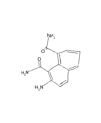 NC(=O)c1cccc2ccc(N)c(C(N)=O)c12